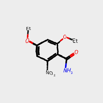 CCOc1cc(OCC)c(C(N)=O)c([N+](=O)[O-])c1